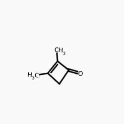 CC1=C(C)C(=O)C1